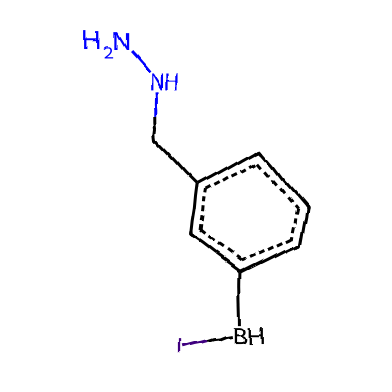 NNCc1cccc(BI)c1